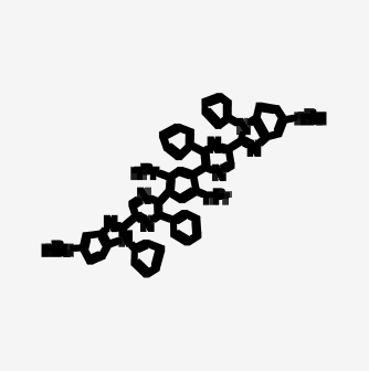 CCCCc1ccc2c(c1)nc(-c1cnc(-c3cc(CCC)c(-c4ncc(-c5nc6cc(CCCC)ccc6n5-c5ccccc5)nc4-c4ccccc4)cc3CCC)c(-c3ccccc3)n1)n2-c1ccccc1